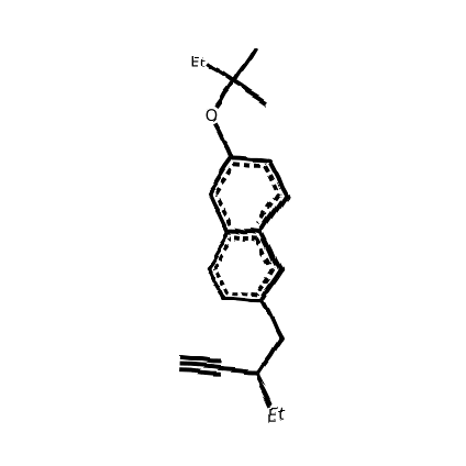 C#CC(CC)Cc1ccc2cc(OC(C)(C)CC)ccc2c1